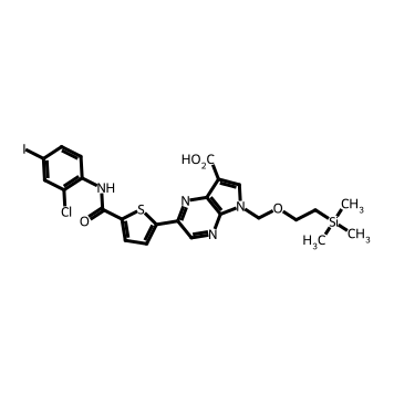 C[Si](C)(C)CCOCn1cc(C(=O)O)c2nc(-c3ccc(C(=O)Nc4ccc(I)cc4Cl)s3)cnc21